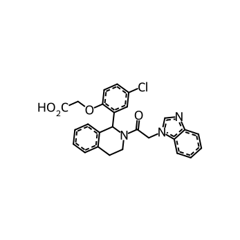 O=C(O)COc1ccc(Cl)cc1C1c2ccccc2CCN1C(=O)Cn1cnc2ccccc21